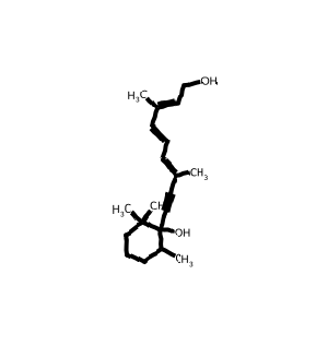 CC(C#CC1(O)C(C)CCCC1(C)C)=CC=CC(C)=CCO